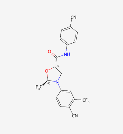 N#Cc1ccc(NC(=O)[C@@H]2CN(c3ccc(C#N)c(C(F)(F)F)c3)[C@@H](C(F)(F)F)O2)cc1